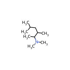 CC(C)CC(C)C(C)N(C)C